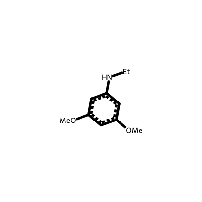 CCNc1cc(OC)cc(OC)c1